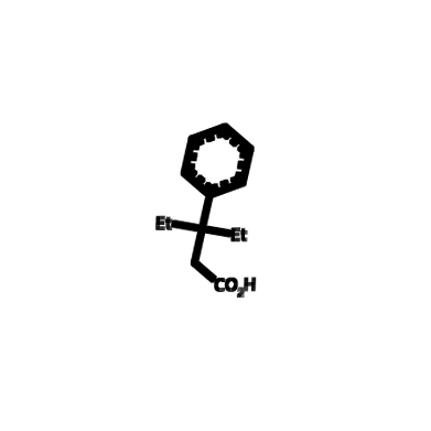 CCC(CC)(CC(=O)O)c1ccccc1